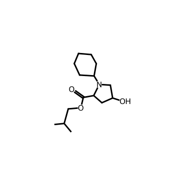 CC(C)COC(=O)C1CC(O)CN1C1CCCCC1